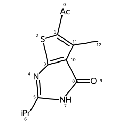 CC(=O)c1sc2nc(C(C)C)[nH]c(=O)c2c1C